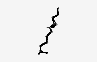 CCC/N=N/CCCCN(C)C